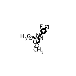 CCOC(=O)Cc1nc(-c2ccc(Cl)c(F)c2)nn1CCOC